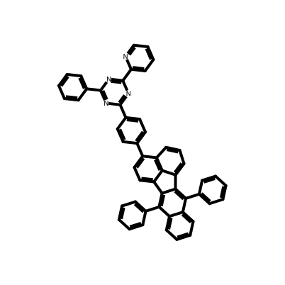 c1ccc(-c2nc(-c3ccc(-c4ccc5c6c(cccc46)-c4c-5c(-c5ccccc5)c5ccccc5c4-c4ccccc4)cc3)nc(-c3ccccn3)n2)cc1